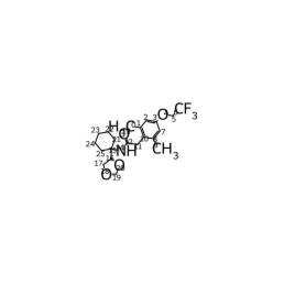 Cc1cc(OCC(F)(F)F)cc(C)c1CC(=O)NC1(C2COCO2)CCCCC1